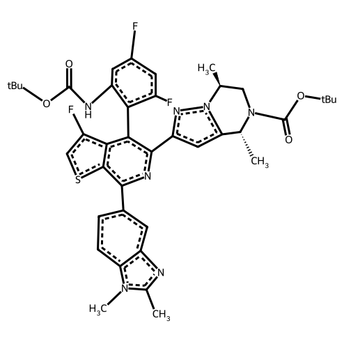 Cc1nc2cc(-c3nc(-c4cc5n(n4)[C@@H](C)CN(C(=O)OC(C)(C)C)[C@@H]5C)c(-c4c(F)cc(F)cc4NC(=O)OC(C)(C)C)c4c(F)csc34)ccc2n1C